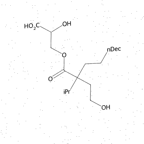 CCCCCCCCCCCCC(CCO)(C(=O)OCC(O)C(=O)O)C(C)C